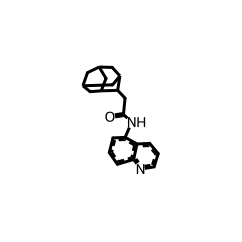 O=C(CC1C2CC3CC(C2)CC1C3)Nc1cccc2ncccc12